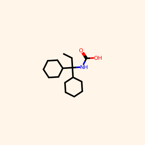 CCC(NC(=O)O)(C1CCCCC1)C1CCCCC1